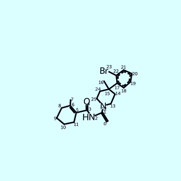 C=C(NC(=O)C1=C(C)CCCC1)N1CCC(C)(c2ccccc2Br)CC1